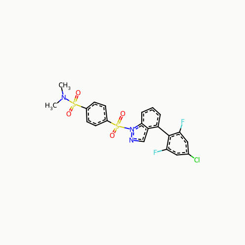 CN(C)S(=O)(=O)c1ccc(S(=O)(=O)n2ncc3c(-c4c(F)cc(Cl)cc4F)cccc32)cc1